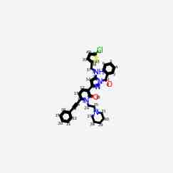 O=C(c1ccccc1)n1nc(-c2ccc(C#Cc3ccccc3)n(CCN3CCCCC3)c2=O)cc1NCc1ccc(Cl)s1